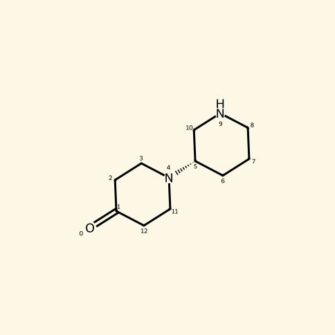 O=C1CCN([C@H]2CCCNC2)CC1